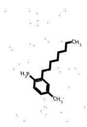 CCCCCCCCc1cc(C)ccc1P